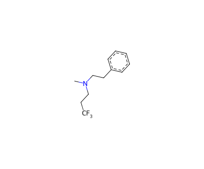 CN(CCc1ccccc1)CCC(F)(F)F